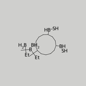 BB(C(B)(C)CC)C(C)(CC)C1CCCCC(BS)CCC(BS)CCCC1